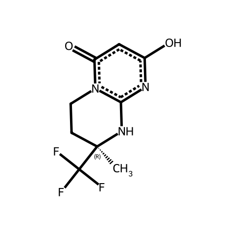 C[C@]1(C(F)(F)F)CCn2c(nc(O)cc2=O)N1